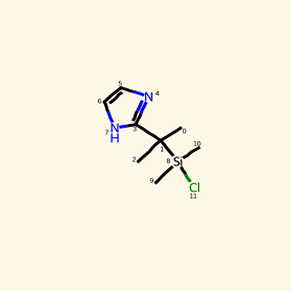 CC(C)(c1ncc[nH]1)[Si](C)(C)Cl